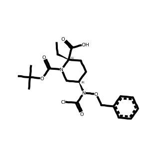 CC[C@@]1(C(=O)O)CC[C@@H](N(OCc2ccccc2)C(=O)Cl)CN1C(=O)OC(C)(C)C